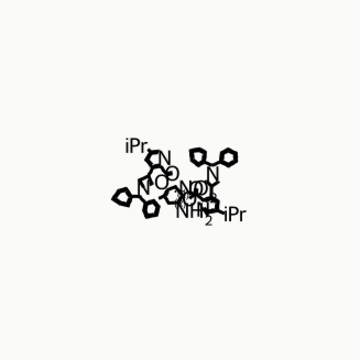 CC1=C(OC(=O)c2ncc(C(C)C)cc2C2CN(C(c3ccccc3)c3ccccc3)C2)[CH][C@](OC(=O)c2ncc(C(C)C)cc2C2CN(C(c3ccccc3)c3ccccc3)C2)([N+](=O)[O-])[C@H](N)C1